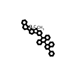 CC1(C)c2ccc(-c3c4ccccc4c(-c4ccc(-c5ccccc5)c5ccccc45)c4ccccc34)cc2-c2ccc3c(oc4c5ccccc5ccc34)c21